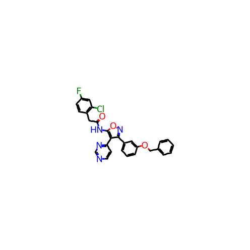 O=C(Cc1ccc(F)cc1Cl)Nc1onc(-c2cccc(OCc3ccccc3)c2)c1-c1ccncn1